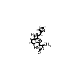 CC1OC(=O)NC1C(=O)N1CCC[C@]1(CO)C(=O)[C@@H](N)Cc1cscn1